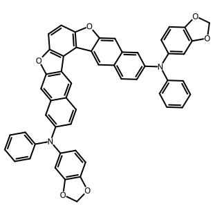 c1ccc(N(c2ccc3c(c2)OCO3)c2ccc3cc4c(cc3c2)oc2ccc3oc5cc6cc(N(c7ccccc7)c7ccc8c(c7)OCO8)ccc6cc5c3c24)cc1